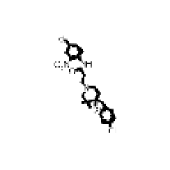 CC1(C)CN(CCC(=O)Nc2ccc(Cl)cc2[N+](=O)[O-])CCC1(O)Cc1ccc(Cl)cc1